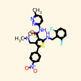 Cc1ccc(NC(=O)c2c(NCc3c(F)cccc3F)sc(-c3ccc([N+](=O)[O-])cc3)c2CN(C)C)nn1